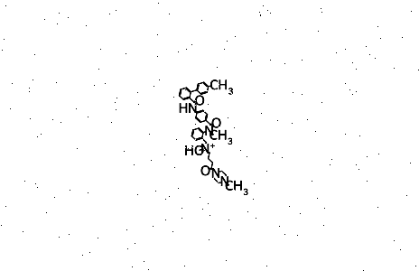 Cc1ccc(-c2ccccc2C(=O)Nc2ccc(C(=O)N(C)c3ccccc3C=[N+](O)CCCC(=O)N3CCN(C)CC3)cc2)cc1